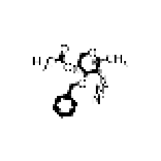 CC(=O)O[C@@H]1[CH]O[C@H](C)[C@@H](N=[N+]=[N-])[C@@H]1OCc1ccccc1